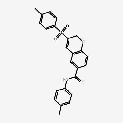 Cc1ccc(NC(=O)c2ccc3c(c2)C=C(S(=O)(=O)c2ccc(C)cc2)CO3)cc1